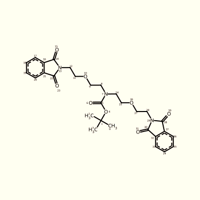 CC(C)(C)OC(=O)N(CCOCCN1C(=O)c2ccccc2C1=O)CCOCCN1C(=O)c2ccccc2C1=O